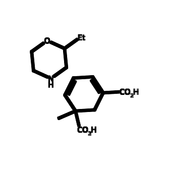 CC1(C(=O)O)C=CC=C(C(=O)O)C1.CCC1CNCCO1